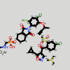 C#CC(C)Oc1cc(N2C(=O)C3=C(CCCC3)C2=O)c(F)cc1Cl.CS(=O)(=O)c1cc(Cl)ccc1C(=O)c1cnoc1C1CC1.C[S+](C)C.O=C(O)CNCP(=O)([O-])O